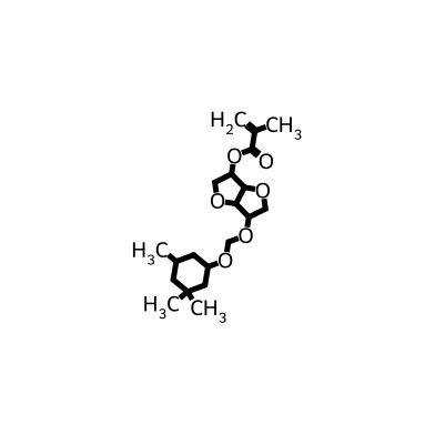 C=C(C)C(=O)OC1COC2C(OCOC3CC(C)CC(C)(C)C3)COC12